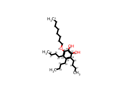 CCCCCCCCOc1c(O)c(O)c(CCCC)c(CCCC)c1CCCC